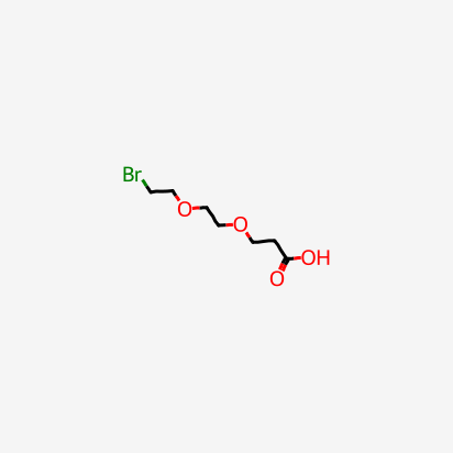 O=C(O)CCOCCOCCBr